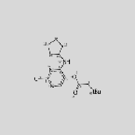 CC(C)(C)CC(=O)Oc1cnc(Cl)nc1NC1CCCC1